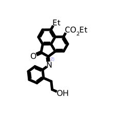 CCOC(=O)c1ccc2c3c(ccc(CC)c13)C(=O)/C2=N\c1ccccc1CCO